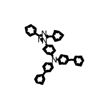 c1ccc(-c2ccc(N(c3ccc(-c4ccccc4)cc3)c3ccc(-n4nc(-c5ccccc5)nc4-c4ccccc4)cc3)cc2)cc1